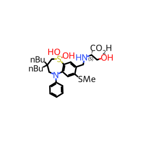 CCCCC1(CCCC)CN(c2ccccc2)c2cc(SC)c(CN[C@@H](CO)C(=O)O)cc2S(O)(O)C1